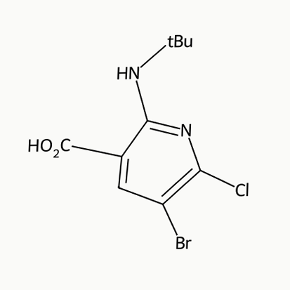 CC(C)(C)Nc1nc(Cl)c(Br)cc1C(=O)O